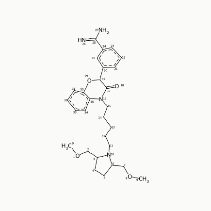 COCC1CCC(COC)N1CCCCCN1C(=O)C(c2cccc(C(=N)N)c2)Oc2ccccc21